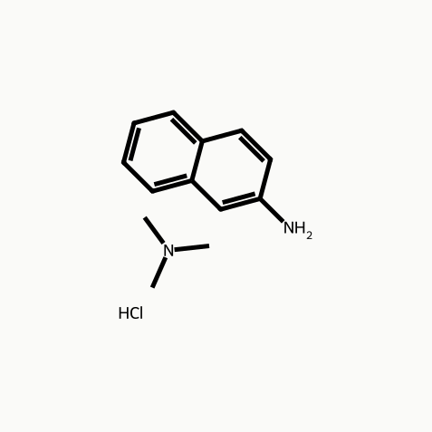 CN(C)C.Cl.Nc1ccc2ccccc2c1